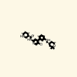 CC1(C)C[C@@H](CNc2cccc(-c3cc(NC(=O)[C@@H]4CCCNC4)ncc3Cl)c2)CCO1